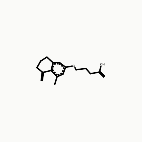 C=C(O)CCCOc1cc(C)c2c(c1)CCCC2=C